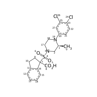 C[C@H]1CN(S(=O)(=O)C2(C(=O)O)CCc3ccccc32)CCN1c1ccc(Cl)c(Cl)c1